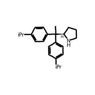 CC(C)c1ccc(C(C)(c2ccc(C(C)C)cc2)[C@H]2CCCN2)cc1